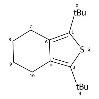 CC(C)(C)c1sc(C(C)(C)C)c2c1CCCC2